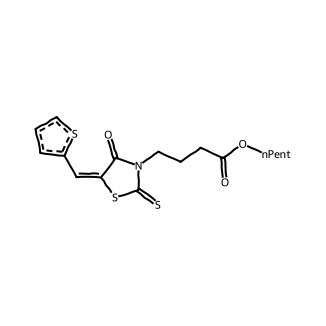 CCCCCOC(=O)CCCN1C(=O)/C(=C\c2cccs2)SC1=S